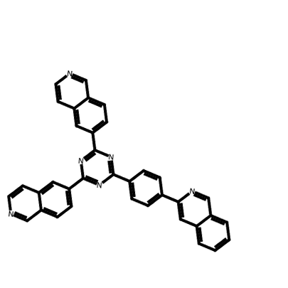 c1ccc2cc(-c3ccc(-c4nc(-c5ccc6cnccc6c5)nc(-c5ccc6cnccc6c5)n4)cc3)ncc2c1